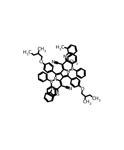 CCC(C)COc1ccc(-c2c3/c(=C(C#N)/C(C)=N/c4ccccc4C)n(B(c4ccccc4)c4ccccc4)c(-c4ccc(OCC(C)CC)cc4)c3/c(=C(\C#N)c3nc4ccccc4s3)n2B(c2ccccc2)c2ccccc2)cc1